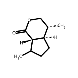 CC1CC[C@@H]2[C@@H](C)COC(=O)[C@@H]12